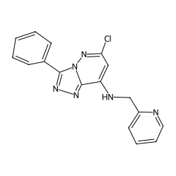 Clc1cc(NCc2ccccn2)c2nnc(-c3ccccc3)n2n1